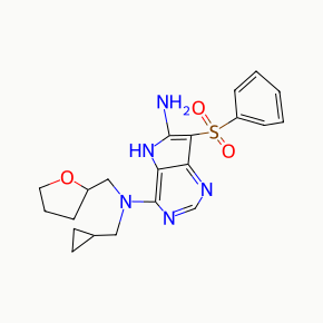 Nc1[nH]c2c(N(CC3CC3)CC3CCCO3)ncnc2c1S(=O)(=O)c1ccccc1